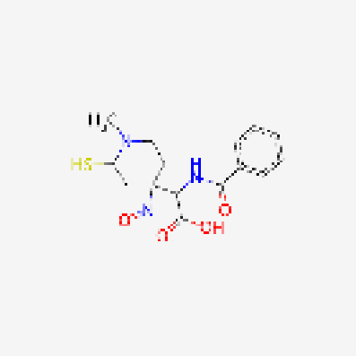 CN1CCC(N=O)(C(NC(=O)c2ccccc2)C(=O)O)CC1S